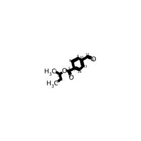 CCC(C)OC(=O)c1ccc([C]=O)cc1